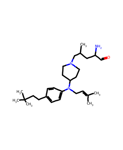 CC(C)=CCN(c1ccc(CCC(C)(C)C)cc1)C1CCN(CC(C)CC(N)C=O)CC1